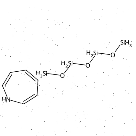 C1=CC=CNC=C1.[SiH3]O[SiH2]O[SiH2]O[SiH3]